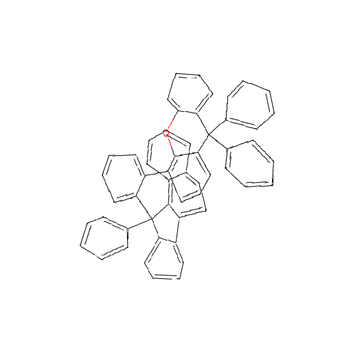 c1ccc(C2(c3ccccc3)c3ccccc3Oc3c(-c4ccccc4C4(c5ccccc5)c5ccccc5-c5ccc6ccccc6c54)cccc32)cc1